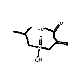 C=C(CP(=O)(O)CC(C)C)C(=O)O